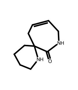 O=C1NCC=CCC12CCCCN2